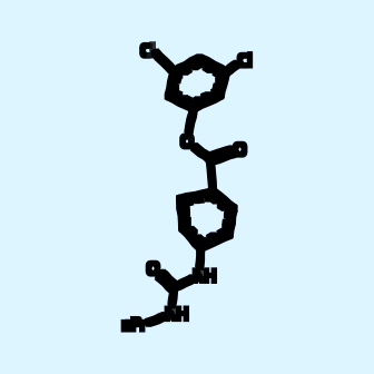 CCCNC(=O)Nc1ccc(C(=O)Oc2cc(Cl)cc(Cl)c2)cc1